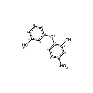 N#Cc1cc([N+](=O)[O-])ccc1Oc1cccc(O)c1